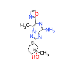 Cc1c(-c2ncco2)nc(N)c2nc([C@H]3CCC[C@@](C)(O)C3)nn12